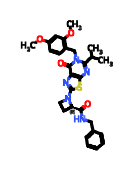 COc1ccc(Cn2c(C(C)C)nc3sc(N4CC[C@@H]4C(=O)NCc4ccccc4)nc3c2=O)c(OC)c1